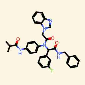 CC(C)C(=O)Nc1ccc(N(C(=O)Cn2cnc3ccccc32)C(C(=O)NCc2ccccc2)c2cccc(F)c2)cc1